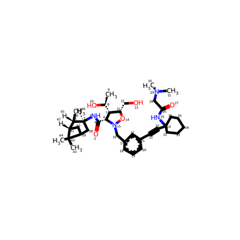 C[C@@H]1[C@@H](NC(=O)[C@@H]2[C@H]([C@H](C)O)[C@H](CO)ON2Cc2cccc(C#CC3(NC(=O)CN(C)C)CCCCC3)c2)CC2C[C@@H]1C2(C)C